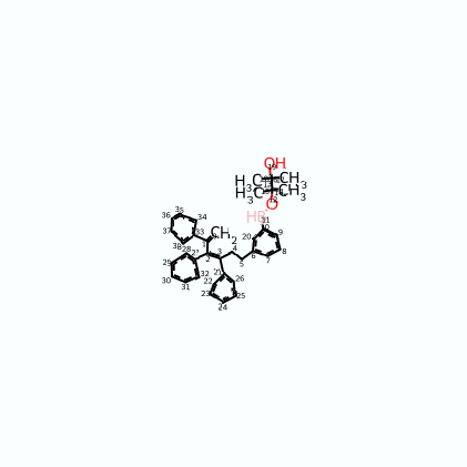 C=C(/C(=C(\CCc1cccc(BOC(C)(C)C(C)(C)O)c1)c1ccccc1)c1ccccc1)c1ccccc1